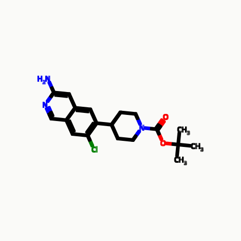 CC(C)(C)OC(=O)N1CCC(c2cc3cc(N)ncc3cc2Cl)CC1